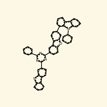 c1ccc(-c2nc(-c3ccc4c(c3)sc3ccccc34)nc(-c3ccc4oc5cc(-c6cccc7c8ccccc8n(-c8ccccc8)c67)ccc5c4c3)n2)cc1